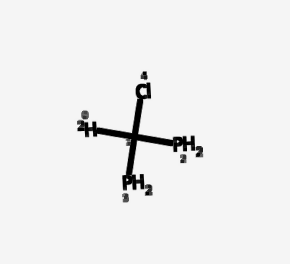 [2H]C(P)(P)Cl